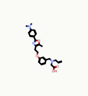 C=CCN(CC(=O)O)Cc1cccc(OCCc2nc(-c3ccc(N(C)C)cc3)oc2C)c1